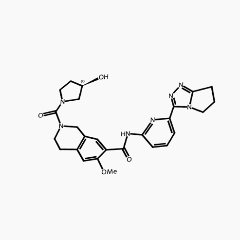 COc1cc2c(cc1C(=O)Nc1cccc(-c3nnc4n3CCC4)n1)CN(C(=O)N1CC[C@@H](O)C1)CC2